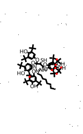 CCCCCCCC[N+]1(Oc2cc(C(C)(C)C)c(O)c(C(C)(C)C)c2)NC(Oc2cc(C(C)(C)C)c(O)c(C(C)(C)C)c2)(Oc2cc(C(C)(C)C)c(O)c(C(C)(C)C)c2)C(S)C(Oc2cc(C(C)(C)C)c(O)c(C(C)(C)C)c2)(Oc2cc(C(C)(C)C)c(O)c(C(C)(C)C)c2)N1